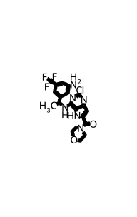 CC(Nc1nc(Cl)nc2cc(C(=O)N3CCOCC3)[nH]c12)c1cc(N)cc(C(F)(F)F)c1